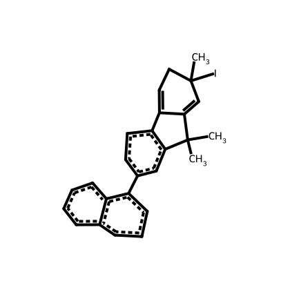 CC1(I)C=C2C(=CC1)c1ccc(-c3cccc4ccccc34)cc1C2(C)C